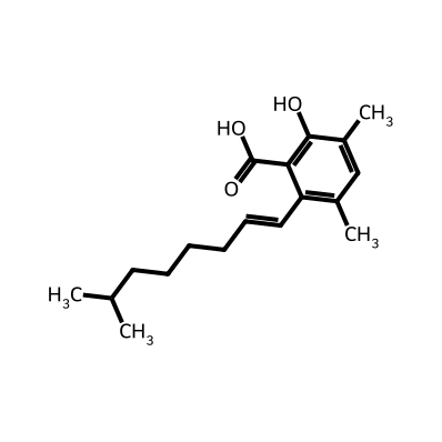 Cc1cc(C)c(C=CCCCCC(C)C)c(C(=O)O)c1O